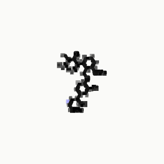 CCc1cc(C(=N)/C=C\NC)ccc1OCc1c(OC)cccc1N(N)C(=O)N(C)N